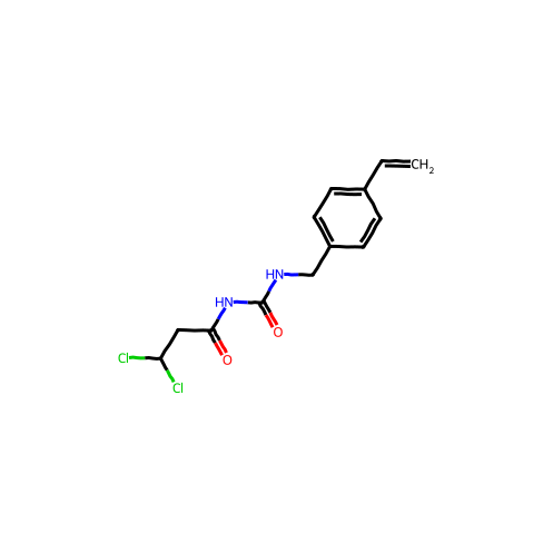 C=Cc1ccc(CNC(=O)NC(=O)CC(Cl)Cl)cc1